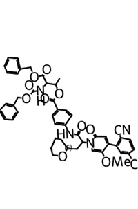 COc1cn(C(C[C@@H]2CCCCO2)C(=O)Nc2ccc(C(=O)OC(C)C(NC(=O)OCc3ccccc3)C(=O)OCc3ccccc3)cc2)c(=O)cc1-c1cc(Cl)ccc1C#N